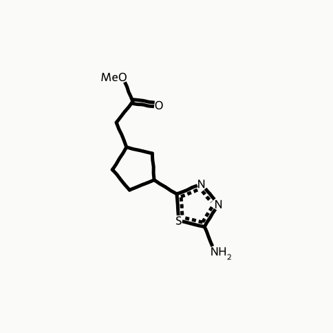 COC(=O)CC1CCC(c2nnc(N)s2)C1